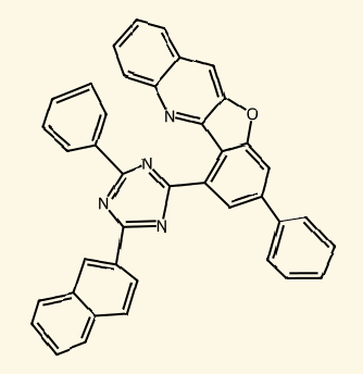 c1ccc(-c2cc(-c3nc(-c4ccccc4)nc(-c4ccc5ccccc5c4)n3)c3c(c2)oc2cc4ccccc4nc23)cc1